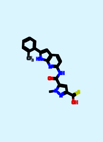 Cn1nc(C(O)=S)cc1C(=O)Nc1ccc2cc(-c3ccccc3C(F)(F)F)[nH]c2n1